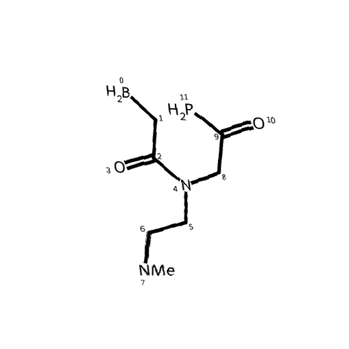 BCC(=O)N(CCNC)CC(=O)P